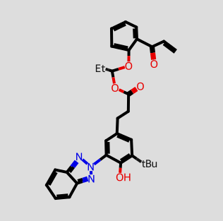 C=CC(=O)c1ccccc1OC(CC)OC(=O)CCc1cc(-n2nc3ccccc3n2)c(O)c(C(C)(C)C)c1